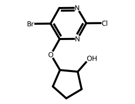 OC1CCCC1Oc1nc(Cl)ncc1Br